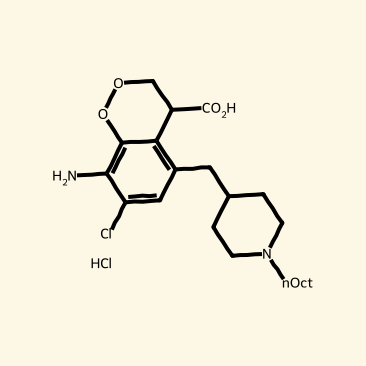 CCCCCCCCN1CCC(Cc2cc(Cl)c(N)c3c2C(C(=O)O)COO3)CC1.Cl